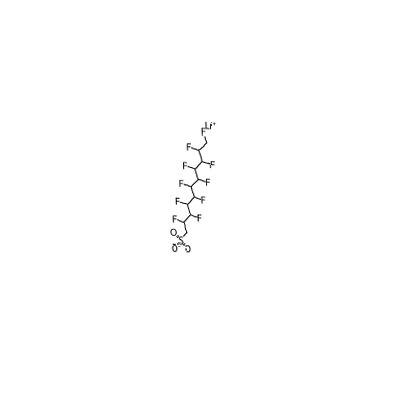 O=S(=O)([O-])CC(F)C(F)C(F)C(F)C(F)C(F)C(F)C(F)C(F)CF.[Li+]